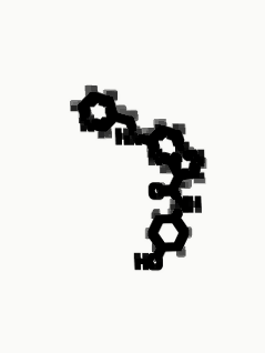 O=C(NC1CCC(O)CC1)c1cnn2ccc(NCc3cccnc3)nc12